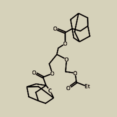 CCC(=O)OCOC(COC(=O)C12CC3CC(CC(C3)C1)C2)COC(=O)C12CC3CC(CC(C3)C1)C2